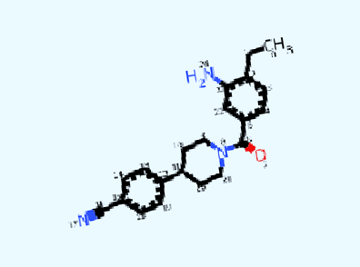 CCc1ccc(C(=O)N2CCC(c3ccc(C#N)cc3)CC2)cc1N